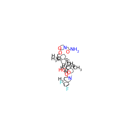 CC(=O)N(Cc1cc(F)cc(F)c1)C[C@H]1C[C@@H](C)[C@H]2[C@H](O1)[C@H](O)[C@@]1(C)[C@@H]3CC[C@H]4C(C)(C)C(OC5CN(CC(N)=O)CCO5)CCC45C[C@@]35CC[C@]21C